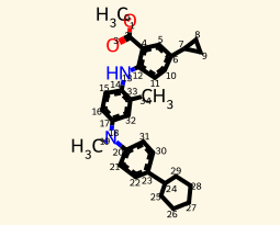 COC(=O)c1cc(C2CC2)ccc1Nc1ccc(N(C)c2ccc(C3CCCCC3)cc2)cc1C